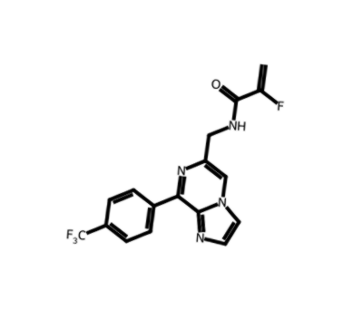 C=C(F)C(=O)NCc1cn2ccnc2c(-c2ccc(C(F)(F)F)cc2)n1